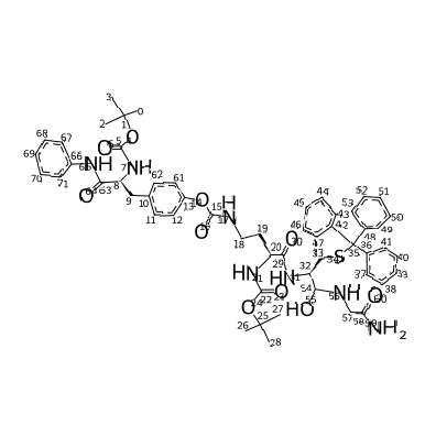 CC(C)(C)OC(=O)N[C@@H](Cc1ccc(OC(=O)NCC[C@H](NC(=O)OC(C)(C)C)C(=O)N[C@@H](CSC(c2ccccc2)(c2ccccc2)c2ccccc2)C(O)NCC(N)=O)cc1)C(=O)Nc1ccccc1